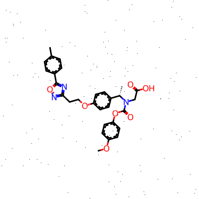 COc1ccc(OC(=O)N(CC(=O)O)[C@@H](C)c2ccc(OCCc3noc(-c4ccc(C)cc4)n3)cc2)cc1